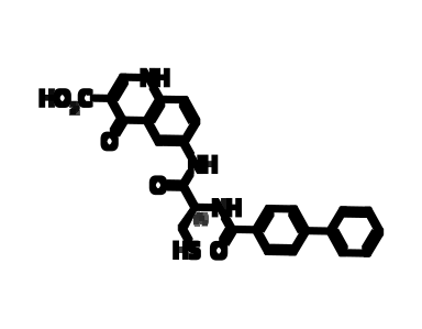 O=C(N[C@@H](CS)C(=O)Nc1ccc2[nH]cc(C(=O)O)c(=O)c2c1)c1ccc(-c2ccccc2)cc1